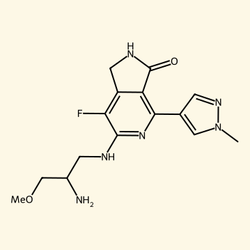 COCC(N)CNc1nc(-c2cnn(C)c2)c2c(c1F)CNC2=O